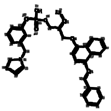 CCOC(COc1ccc(OCc2ccccc2)c2ccccc12)COP(=O)(O)Oc1cccc(CN2C=CSC2)c1